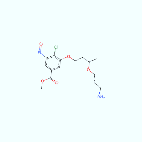 COC(=O)c1cc(N=O)c(Cl)c(OCCC(C)OCCCN)c1